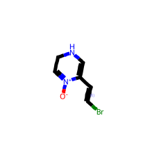 [O-][N+]1=CCNC=C1/C=C/Br